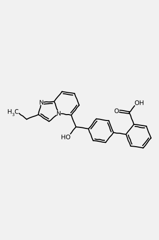 CCc1cn2c(C(O)c3ccc(-c4ccccc4C(=O)O)cc3)cccc2n1